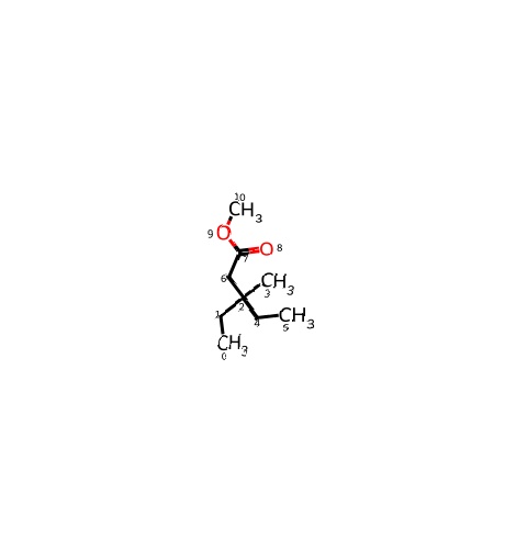 CCC(C)(CC)CC(=O)OC